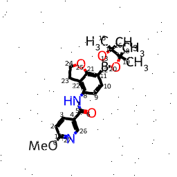 COc1ccc(C(=O)Nc2ccc(B3OC(C)(C)C(C)(C)O3)c3c2CCO3)cn1